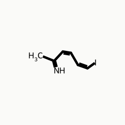 CC(=N)/C=C\C=C/I